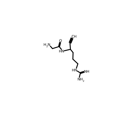 C#CC(CCCNC(=N)N)NC(=O)CN